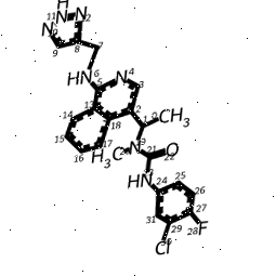 CC(c1cnc(NCc2cn[nH]n2)c2ccccc12)N(C)C(=O)Nc1ccc(F)c(Cl)c1